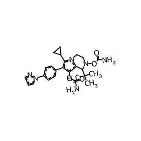 CC(C)(C)C1c2c(OC(N)=O)c(-c3ccc(-n4cccn4)cc3)c(C3CC3)n2CCN1OC(N)=O